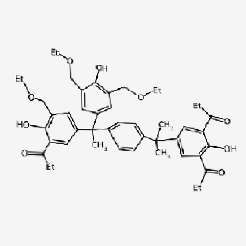 CCOCc1cc(C(C)(c2ccc(C(C)(C)c3cc(C(=O)CC)c(O)c(C(=O)CC)c3)cc2)c2cc(COCC)c(O)c(C(=O)CC)c2)cc(COCC)c1O